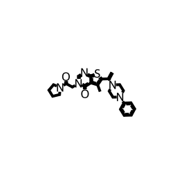 C=C(c1sc2ncn(CC(=O)N3CCCC3)c(=O)c2c1C)N1CCN(c2ccccc2)CC1